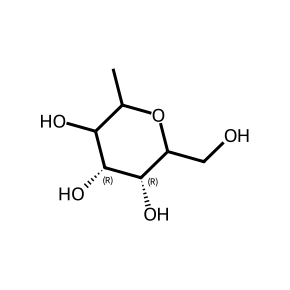 CC1OC(CO)[C@H](O)[C@H](O)C1O